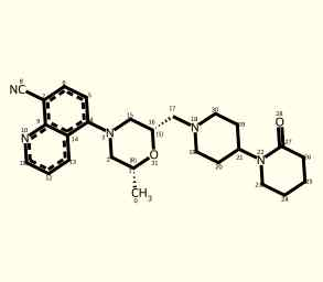 C[C@@H]1CN(c2ccc(C#N)c3ncccc23)C[C@H](CN2CCC(N3CCCCC3=O)CC2)O1